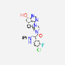 CC(C)NC[C@@H](C(=O)N1CCN(c2ncnc3c2[C@H](C)C[C@@H]3O)CC1)c1ccc(Cl)c(F)c1